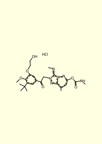 C/N=c1\n(CC(=O)c2cc(OCCO)c(OC)c(C(C)(C)C)c2)nc2c(C)cc(OC(=O)NC)nn12.Cl